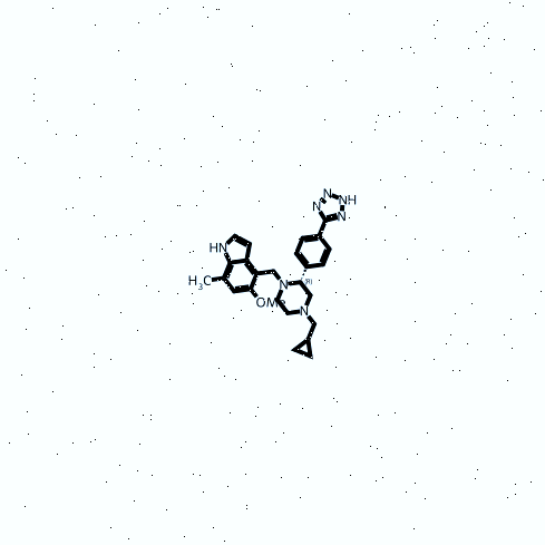 COc1cc(C)c2[nH]ccc2c1CN1CCN(CC2CC2)C[C@H]1c1ccc(-c2nn[nH]n2)cc1